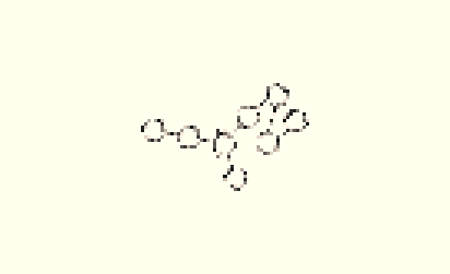 c1ccc(-c2ccc(-c3nc(-c4ccccc4)cc(-c4ccc5c(c4)C4(c6ccccc6-c6ccccc64)c4ccccc4-5)n3)cc2)cc1